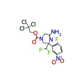 NC1=NC(c2cc([N+](=O)[O-])ccc2F)(C(F)F)CN(C(=O)OCC(Cl)(Cl)Cl)C1